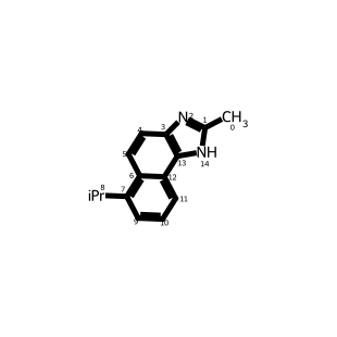 Cc1nc2ccc3c(C(C)C)cccc3c2[nH]1